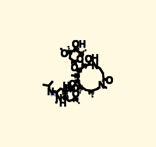 CO[C@]1(C)C[C@H](O[C@H]2[C@H](C)[C@@H](O[C@@H]3O[C@H](C)C[C@H]4[C@H]3C/C(=N\C(C)C)N4C)[C@](C)(O)C[C@@H](C)CN(C)C(=O)CCNC(=O)[C@@H]2C)O[C@@H](C)[C@@H]1O